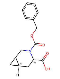 O=C(O)[C@@H]1C[C@H]2CC2CN1C(=O)OCc1ccccc1